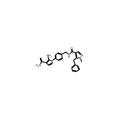 C=C(N)c1ccn(-c2ccc(CNC(=O)c3cnn(C)c3Cc3ccccc3)cc2)c1N